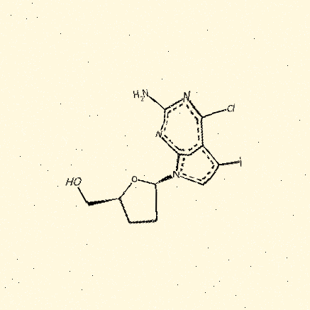 Nc1nc(Cl)c2c(I)cn([C@H]3CC[C@@H](CO)O3)c2n1